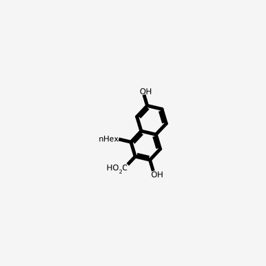 CCCCCCc1c(C(=O)O)c(O)cc2ccc(O)cc12